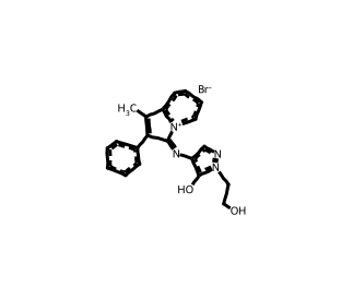 CC1=C(c2ccccc2)/C(=N/c2cnn(CCO)c2O)[n+]2ccccc21.[Br-]